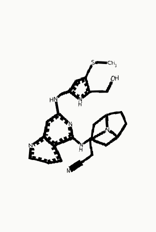 CSc1cc(Nc2cc3ncccc3c(NC3CC4CCC(C3)N4CCC#N)n2)[nH]c1CO